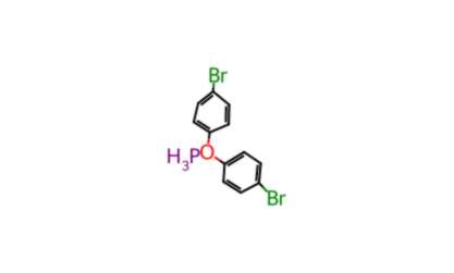 Brc1ccc(Oc2ccc(Br)cc2)cc1.P